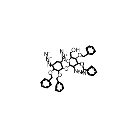 [N-]=[N+]=NC1CC(N=[N+]=[N-])[C@@H](O[C@H]2OC(CO)[C@@H](OCc3ccccc3)C(OCc3ccccc3)C2N=[N+]=[N-])C(OCc2ccccc2)C1OCc1ccccc1